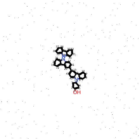 Oc1ccc(-n2c3ccccc3c3cc(-c4ccc5c(c4)c4ccccc4n5-n4c5ccccc5c5ccccc54)ccc32)cc1